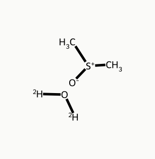 C[S+](C)[O-].[2H]O[2H]